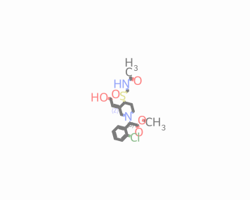 COC(=O)[C@H](c1ccccc1Cl)N1CCC(SCNC(C)=O)/C(=C\C(=O)O)C1